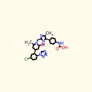 Cc1nc(Cn2c(C)cc(-c3cc(Cl)ccc3-n3cnnn3)cc2=O)[nH]c1-c1ccc(NC(=O)O)cc1